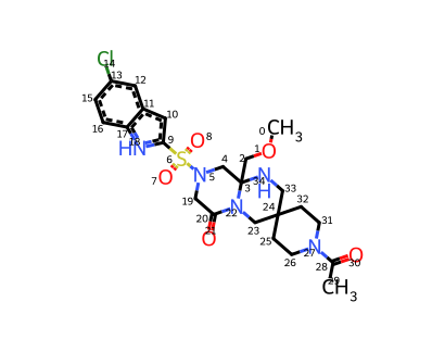 COCC12CN(S(=O)(=O)c3cc4cc(Cl)ccc4[nH]3)CC(=O)N1CC1(CCN(C(C)=O)CC1)CN2